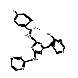 C[C@H](Nc1nc(Nc2cnccn2)cc(-c2cnccc2C#N)n1)c1ccc(F)cc1